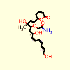 C[C@@](O)(/C=C/C1CC=CC(=O)O1)C(C[C@@H](O)\C=C/C=C\C=C\CO)OCC(N)=O